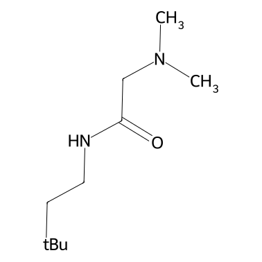 CN(C)CC(=O)NCCC(C)(C)C